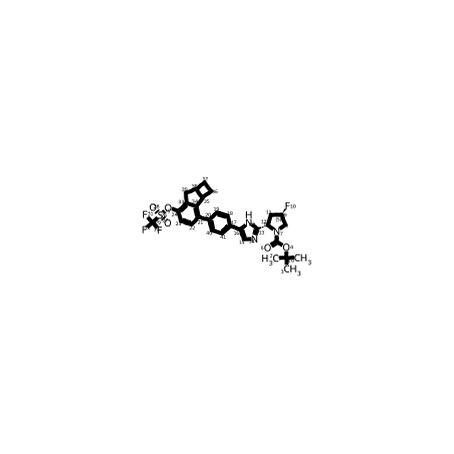 CC(C)(C)OC(=O)N1C[C@@H](F)C[C@H]1c1ncc(-c2ccc(-c3ccc(OS(=O)(=O)C(F)(F)F)c4c3C3CCC3C4)cc2)[nH]1